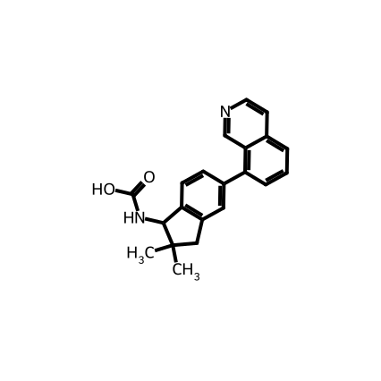 CC1(C)Cc2cc(-c3cccc4ccncc34)ccc2C1NC(=O)O